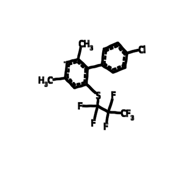 Cc1[c]c(C)c(-c2ccc(Cl)cc2)c(SC(F)(F)C(F)(F)C(F)(F)F)c1